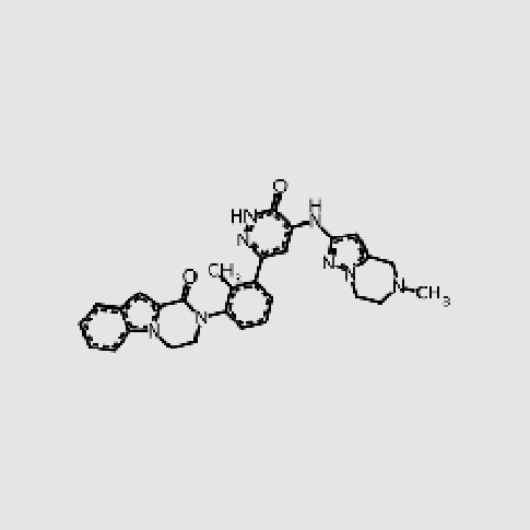 Cc1c(-c2cc(Nc3cc4n(n3)CCN(C)C4)c(=O)[nH]n2)cccc1N1CCn2c(cc3ccccc32)C1=O